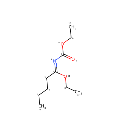 CCCC/C(=N/C(=O)OCC)OCC